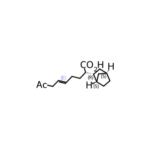 CC(=O)C/C=C/CCC(C(=O)O)[C@@H]1C[C@H]2CC[C@H]1C2